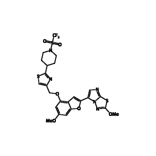 COc1cc(OCc2csc(C3CCN(S(=O)(=O)C(F)(F)F)CC3)n2)c2cc(-c3cnc4sc(OC)nn34)oc2c1